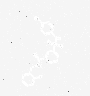 O=C(NCc1ccccc1F)c1cccc(S(=O)(=O)Nc2ccc(Br)cc2)c1